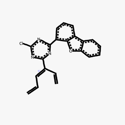 C=C/C=C(\C=C)c1nc(Cl)nc(-c2cccc3c2oc2ccccc23)n1